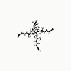 C#CCCCC(=O)OCC(COC(=O)CCCC#C)(COC(=O)CCCC#C)NC(=O)OC(C)(C)C